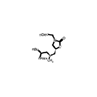 CCCCCCCCCCCN1C[C@H](CN(C)CC(CCCC)CCCCCC)OC1=O